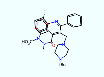 CN(C(=O)c1c(CN2CCN(C(C)(C)C)CC2)c(-c2ccccc2)nc2c(F)cccc12)N(C(=O)O)c1ccccc1